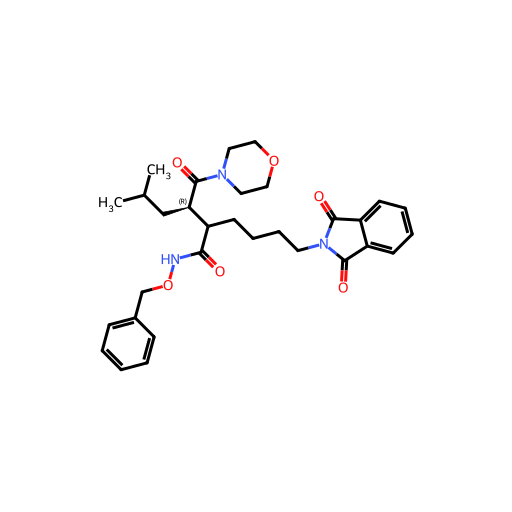 CC(C)C[C@@H](C(=O)N1CCOCC1)C(CCCCN1C(=O)c2ccccc2C1=O)C(=O)NOCc1ccccc1